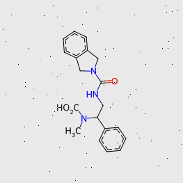 CN(C(=O)O)C(CNC(=O)N1Cc2ccccc2C1)c1ccccc1